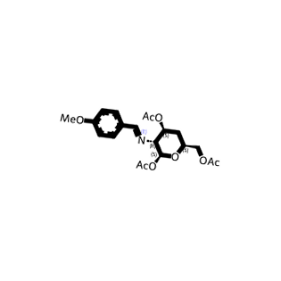 COc1ccc(/C=N/[C@H]2[C@H](OC(C)=O)O[C@H](COC(C)=O)C[C@@H]2OC(C)=O)cc1